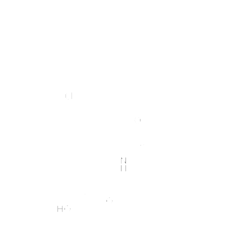 CC(=Cc1ccc(C)cc1)C(=O)Nc1cc(Cl)ccc1C(=O)O